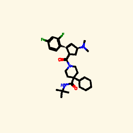 CN(C)[C@H]1CC(C(=O)N2CCC(C(=O)NC(C)(C)C)(C3CCCCC3)CC2)[C@H](c2ccc(F)cc2F)C1